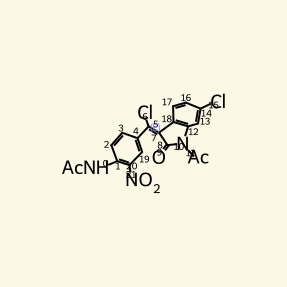 CC(=O)Nc1ccc(/C(Cl)=C2\C(=O)N(C(C)=O)c3cc(Cl)ccc32)cc1[N+](=O)[O-]